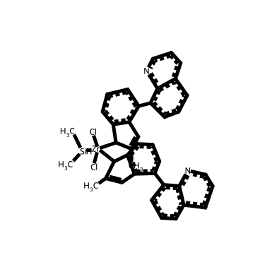 CC1=Cc2c(-c3cccc4cccnc34)cccc2[CH]1[Zr]([Cl])([Cl])([CH]1C(C)=Cc2c(-c3cccc4cccnc34)cccc21)[SiH](C)C